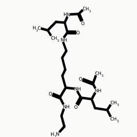 CC(=O)NC(CC(C)C)C(=O)NCCCCC(NC(=O)C(CC(C)C)NC(C)=O)C(=O)NCCN